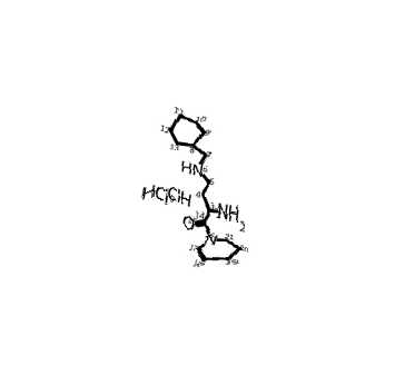 Cl.Cl.NC(CCNCC1CCCCC1)C(=O)N1CCCCC1